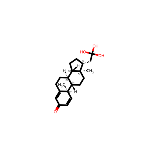 C[C@]12CC[C@H]3[C@@H](CCC4=CC(=O)C=C[C@@]43C)[C@@H]1CC[C@@H]2CC(O)(O)O